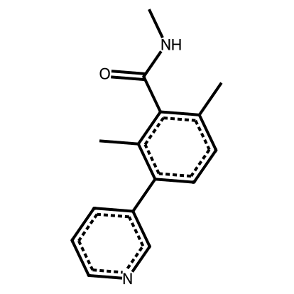 CNC(=O)c1c(C)ccc(-c2cccnc2)c1C